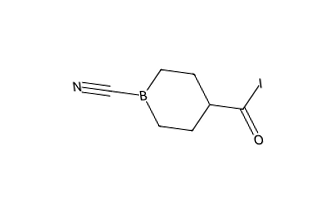 N#CB1CCC(C(=O)I)CC1